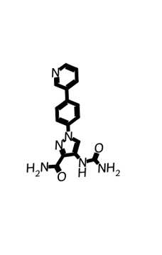 NC(=O)Nc1cn(-c2ccc(-c3cccnc3)cc2)nc1C(N)=O